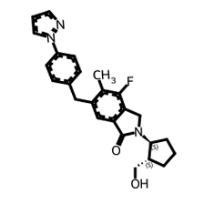 Cc1c(Cc2ccc(-n3cccn3)cc2)cc2c(c1F)CN([C@H]1CCC[C@@H]1CO)C2=O